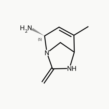 C=C1NC2CN1[C@H](N)C=C2C